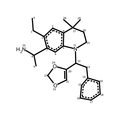 CCc1cc2c(cc1C(C)N)N(C(Cc1ccccc1)C1=COCO1)CCC2(C)C